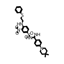 CC1(C)CCN(c2ccc(C(=N)NS(=O)(=O)c3ccc(NCCSc4ccccc4)c([N+](=O)[O-])c3)cc2)CC1